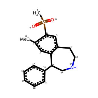 COc1cc2c(cc1S(C)(=O)=O)CCNCC2c1ccccc1